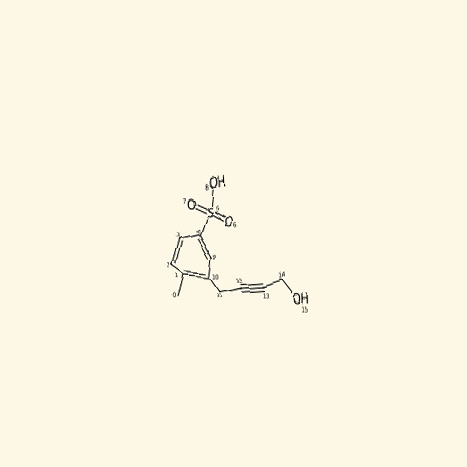 Cc1ccc(S(=O)(=O)O)cc1CC#CCO